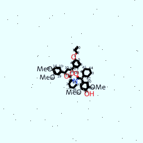 C=CCOc1cccc(C(CCc2ccc(OC)c(OC)c2)OC(=O)[C@H]2CCCCN2C(=O)C(c2cc(OC)c(O)c(OC)c2)C2CCCCC2)c1